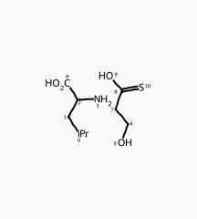 CC(C)CC(N)C(=O)O.OCCC(O)=S